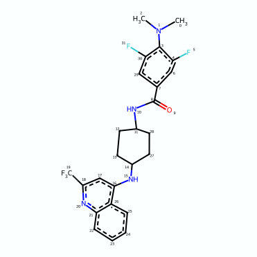 CN(C)c1c(F)cc(C(=O)NC2CCC(Nc3cc(C(F)(F)F)nc4ccccc34)CC2)cc1F